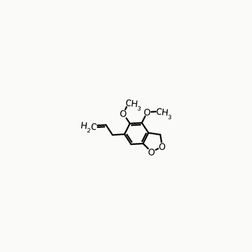 C=CCc1cc2c(c(OC)c1OC)COO2